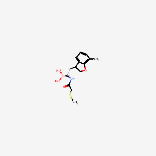 CSCC(=O)N[C@@H](CC1COc2c(C)cccc21)B(O)O